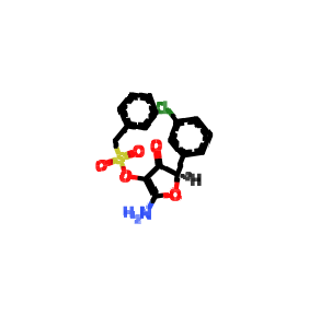 [2H][C@]1(c2cccc(Cl)c2)OC(N)=C(OS(=O)(=O)Cc2ccccc2)C1=O